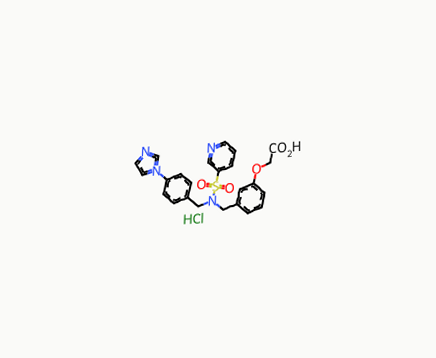 Cl.O=C(O)COc1cccc(CN(Cc2ccc(-n3ccnc3)cc2)S(=O)(=O)c2cccnc2)c1